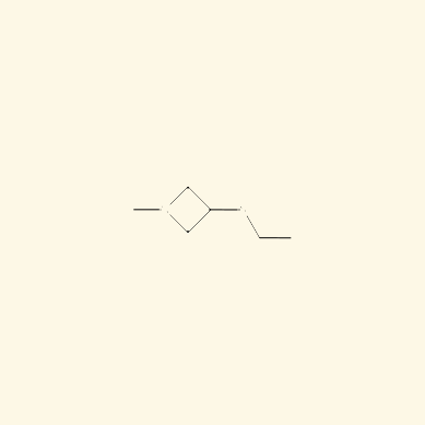 CCNC1CN(C)C1